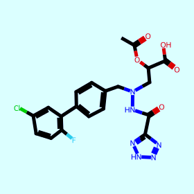 CC(=O)OC(CN(Cc1ccc(-c2cc(Cl)ccc2F)cc1)NC(=O)c1nn[nH]n1)C(=O)O